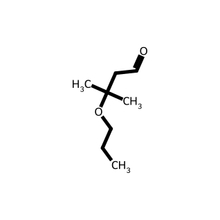 CCCOC(C)(C)CC=O